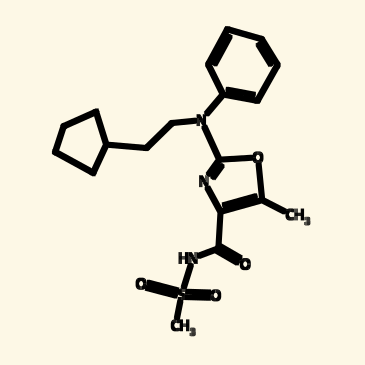 Cc1oc(N(CCC2CCCC2)c2ccccc2)nc1C(=O)NS(C)(=O)=O